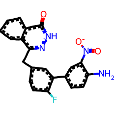 Nc1ccc(-c2cc(Cc3n[nH]c(=O)c4ccccc34)ccc2F)cc1[N+](=O)[O-]